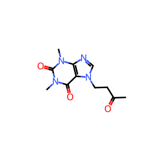 CC(=O)CCn1cnc2c1c(=O)n(C)c(=O)n2C